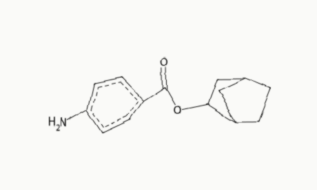 Nc1ccc(C(=O)OC2CC3CCC2C3)cc1